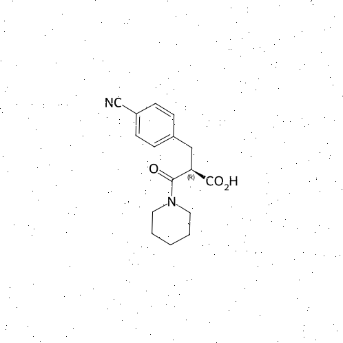 N#Cc1ccc(C[C@@H](C(=O)O)C(=O)N2CCCCC2)cc1